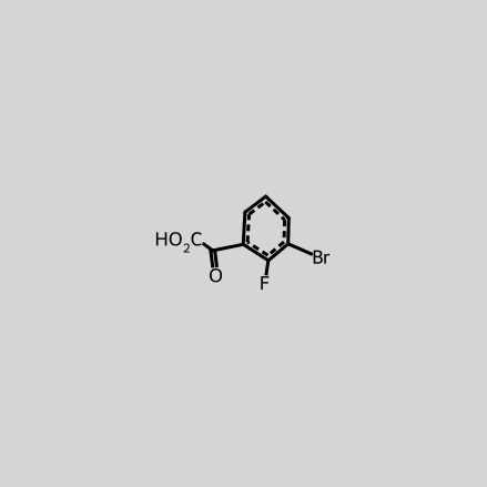 O=C(O)C(=O)c1cccc(Br)c1F